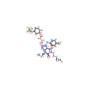 CCCCn1c(=O)c2c(nc(OCCOc3cccc(OC(F)(F)F)c3)n2Cc2ccc(Cl)cn2)n(C)c1=O